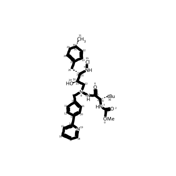 COC(=O)N[C@H](C(=O)NN(Cc1ccc(-c2ccccn2)cc1)C[C@H](O)[C@H](CC1=CC[C@H](C)C=C1)NCl)C(C)(C)C